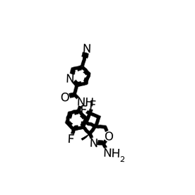 C[C@]1(c2cc(NC(=O)c3ccc(C#N)cn3)ccc2F)N=C(N)OCC12CC(F)(F)C2